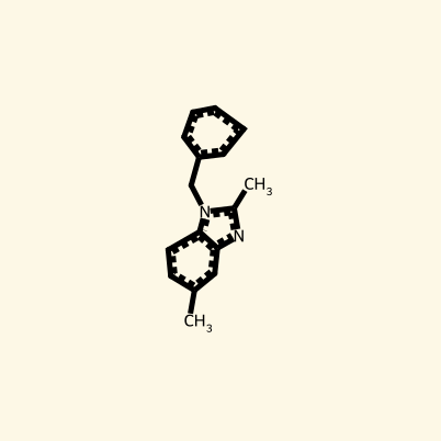 Cc1ccc2c(c1)nc(C)n2Cc1ccccc1